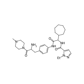 CCn1nccc1C(=O)NC(C(=O)Nc1ccc(CC(N)C(=O)N2CCN(C)CC2)cc1)C1CCCCCC1